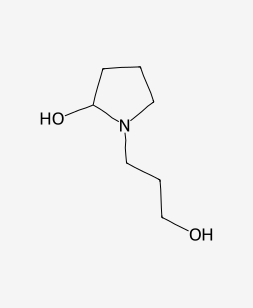 OCCCN1CCCC1O